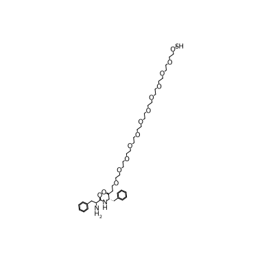 N[C@@H](Cc1ccccc1)C(=O)N[C@@H](Cc1ccccc1)C(=O)CCOCCOCCOCCOCCOCCOCCOCCOCCOCCOCCOCCOS